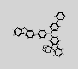 c1ccc(-c2ccc(N(c3ccc(-c4ccc5c(c4)oc4ccccc45)cc3)c3ccc4c(c3)C3(CC5CCC3C5)c3ccccc3-4)cc2)cc1